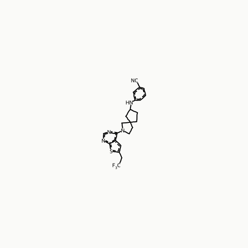 N#Cc1cccc(NC2CCC3(CCN(c4ncnc5sc(CC(F)(F)F)cc45)C3)C2)c1